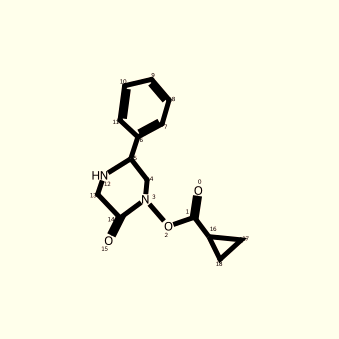 O=C(ON1CC(c2ccccc2)NCC1=O)C1CC1